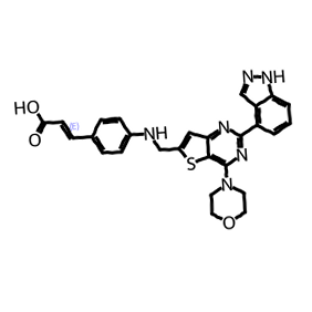 O=C(O)/C=C/c1ccc(NCc2cc3nc(-c4cccc5[nH]ncc45)nc(N4CCOCC4)c3s2)cc1